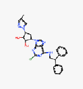 Cc1cnn(C2CC(n3cnc4c(NCC(c5ccccc5)c5ccccc5)nc(Cl)nc43)C(O)C2O)c1